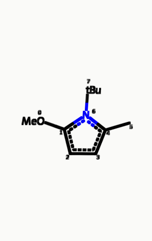 COc1ccc(C)n1C(C)(C)C